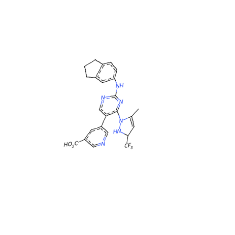 CC1=CC(C(F)(F)F)NN1c1nc(Nc2ccc3c(c2)CCC3)ncc1-c1cncc(C(=O)O)c1